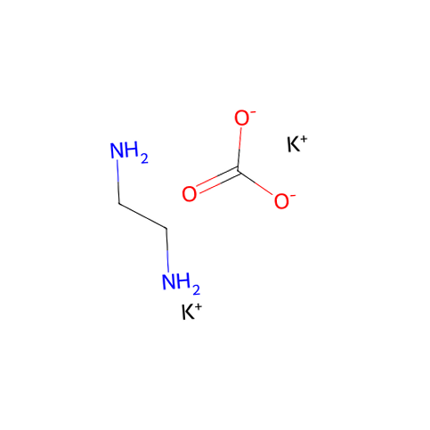 NCCN.O=C([O-])[O-].[K+].[K+]